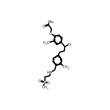 CCC(CCc1ccc(CNCCS(C)(=O)=O)c(C)c1)c1ccc(OCC(=O)C(C)(C)C)c(C)c1